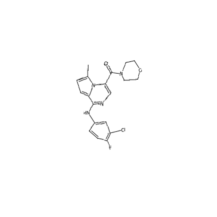 Cc1ccc2c(Nc3ccc(F)c(Cl)c3)ncc(C(=O)N3CCOCC3)n12